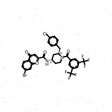 O=C(N[C@H]1CCN(C(=O)c2cc(C(F)(F)F)cc(C(F)(F)F)c2)[C@H](Cc2ccc(Cl)cc2)C1)c1cc(=O)c2ccc(Br)cc2o1